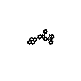 c1ccc(-n2c3ccc(-c4cc5ccc6cccc7ccc(c4)c5c67)cc3c3ccc(-n4c5ccccc5c5cccnc54)cc32)cc1